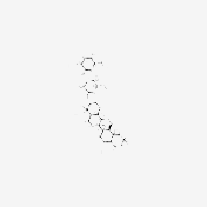 CC1(C)C[C@@H](C(=O)O)C2CC[C@]3(C)C(=CCC4[C@@]5(C)CC[C@H](OC6O[C@H](CO)[C@@H](O)[C@H](O[C@@H]7O[C@H](CO)[C@@H](O)[C@H](O)[C@H]7O)[C@H]6O)C(C)(C)C5CC[C@]43C)[C@@H]2C1